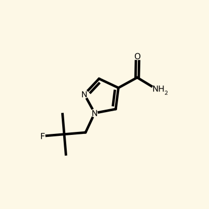 CC(C)(F)Cn1cc(C(N)=O)cn1